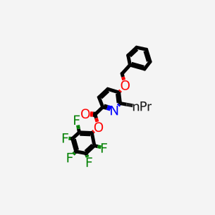 CCCc1nc(C(=O)Oc2c(F)c(F)c(F)c(F)c2F)ccc1OCc1ccccc1